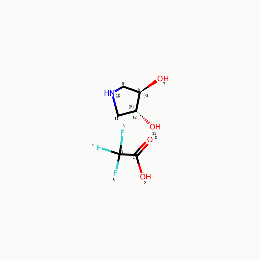 O=C(O)C(F)(F)F.O[C@@H]1CNC[C@H]1O